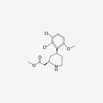 COC(=O)C[C@H]1C[C@@H](c2c(OC)ccc(Cl)c2Cl)CCN1